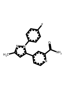 Cc1cc(-c2ccnc(C(N)=O)c2)n(-c2ccc(F)cc2)n1